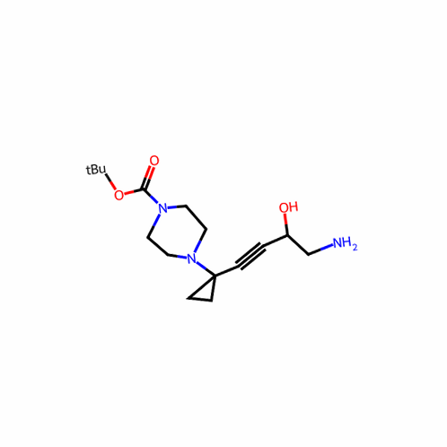 CC(C)(C)OC(=O)N1CCN(C2(C#CC(O)CN)CC2)CC1